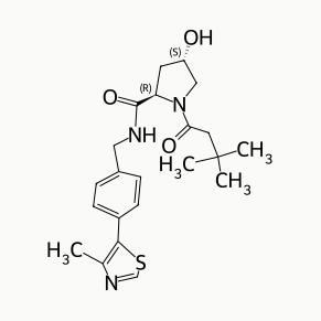 Cc1ncsc1-c1ccc(CNC(=O)[C@H]2C[C@H](O)CN2C(=O)CC(C)(C)C)cc1